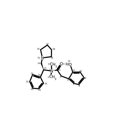 C[N+](C)(C(=O)Cc1ccccc1O)[C@H](CN1CCCC1)c1ccccc1